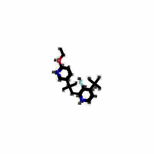 CCOc1ccc(C(C)(C)Cc2nccc(C(C)(C)C)c2F)cn1